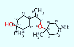 CCC1CCC(C)(OCC(C)C2CCC(C)(O)CC2)CC1